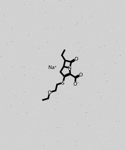 CCOCCSC1=C(C(=O)[O-])N2C(=O)C(CC)C2C1.[Na+]